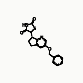 O=C1NC(=O)C([C@@H]2CCc3cc(OCc4ccccc4)cnc32)S1